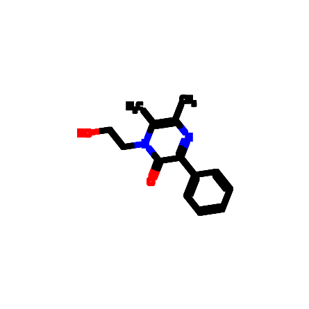 Cc1nc(-c2ccccc2)c(=O)n(CCO)c1C